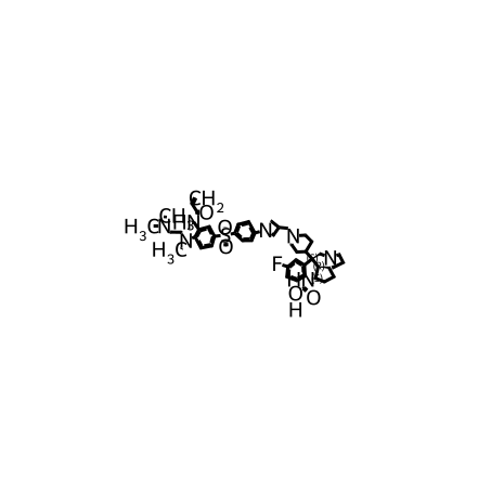 C=CC(=O)Nc1cc(S(=O)(=O)c2ccc(N3CC(CN4CCC([C@@](CN5CCC5)(c5cccc(F)c5)[C@H]5CCC[C@@H]5NC(=O)O)CC4)C3)cc2)ccc1N(C)CCN(C)C